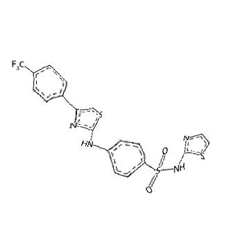 O=S(=O)(Nc1nccs1)c1ccc(Nc2nc(-c3ccc(C(F)(F)F)cc3)cs2)cc1